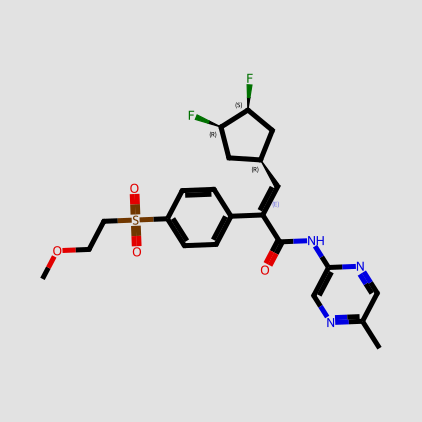 COCCS(=O)(=O)c1ccc(/C(=C\[C@H]2C[C@@H](F)[C@@H](F)C2)C(=O)Nc2cnc(C)cn2)cc1